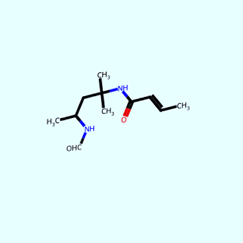 C/C=C/C(=O)NC(C)(C)CC(C)NC=O